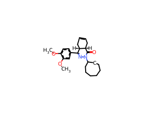 COc1ccc(C2=NN(C3CCCCCCC3)C(=O)[C@H]3CC=CC[C@@H]23)cc1OC